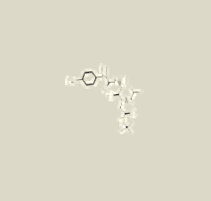 CC(C)C[C@@H](NC(=O)Nc1ccc(Br)cc1)C(=O)NCC(=O)OC(C)(C)C